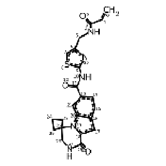 C=CC(=O)NCc1csc(NC(=O)c2ccc3cc4n(c3c2)C2(CCC2)CNC4=O)n1